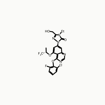 CCn1c(CO)nn(-c2cc(O[C@@H](C)C(F)(F)F)c3c(Oc4c(F)cccc4Cl)ncnc3c2)c1=O